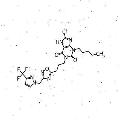 CCCCCn1c(=O)n(CCCc2nc(Cn3ccc(C(F)(F)F)n3)no2)c(=O)c2[nH]c(Cl)nc21